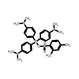 Cc1ccc(S(=O)(=O)OS(c2ccc(N(C)C)cc2)(c2ccc(N(C)C)cc2)c2ccc(N(C)C)cc2)c(C)c1